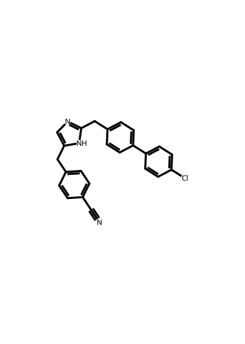 N#Cc1ccc(Cc2cnc(Cc3ccc(-c4ccc(Cl)cc4)cc3)[nH]2)cc1